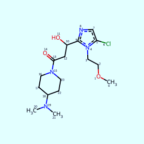 COCCn1c(Cl)cnc1C(O)CC(=O)N1CCC(N(C)C)CC1